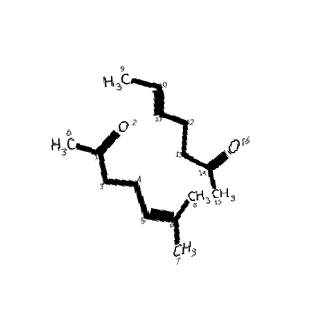 CC(=O)CCC=C(C)C.CC=CCCC(C)=O